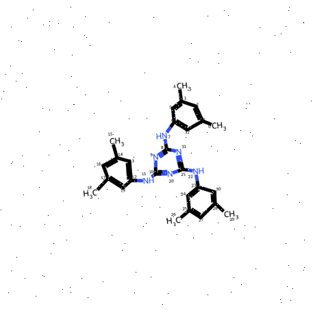 Cc1cc(C)cc(Nc2nc(Nc3cc(C)cc(C)c3)nc(Nc3cc(C)cc(C)c3)n2)c1